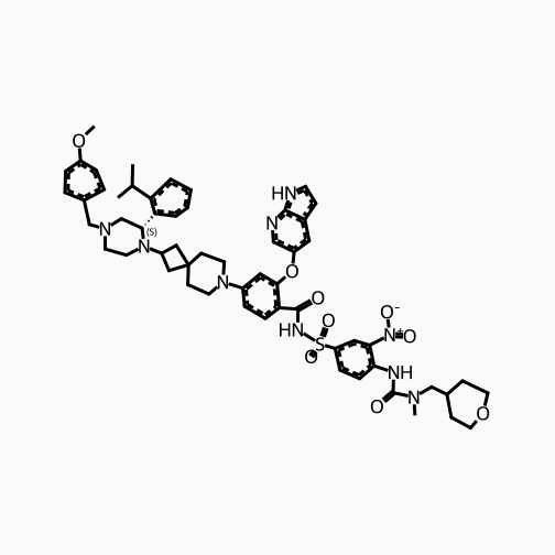 COc1ccc(CN2CCN(C3CC4(CCN(c5ccc(C(=O)NS(=O)(=O)c6ccc(NC(=O)N(C)CC7CCOCC7)c([N+](=O)[O-])c6)c(Oc6cnc7[nH]ccc7c6)c5)CC4)C3)[C@@H](c3ccccc3C(C)C)C2)cc1